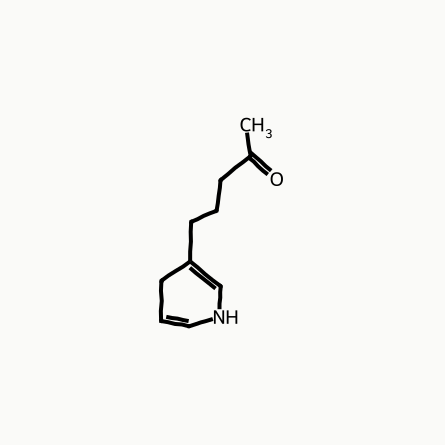 CC(=O)CCCC1=CNC=CC1